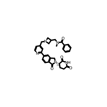 CN(CC1CN(Cc2ccnc(-c3ccc4c(c3)CN([C@H]3CCC(=O)NC3=O)C4=O)c2)C1)C(=O)c1ccccc1